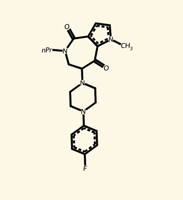 CCCN1CC(N2CCN(c3ccc(F)cc3)CC2)C(=O)c2c(ccn2C)C1=O